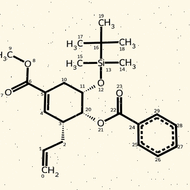 C=CC[C@@H]1C=C(C(=O)OC)C[C@H](O[Si](C)(C)C(C)(C)C)[C@@H]1OC(=O)c1ccccc1